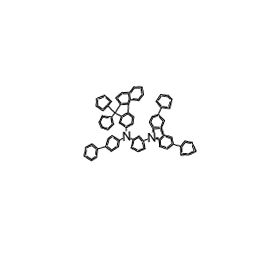 c1ccc(-c2ccc(N(c3cccc(-n4c5ccc(-c6ccccc6)cc5c5cc(-c6ccccc6)ccc54)c3)c3ccc4c(c3)C(c3ccccc3)(c3ccccc3)c3ccc5ccccc5c3-4)cc2)cc1